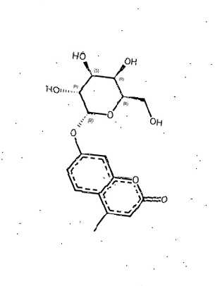 Cc1cc(=O)oc2cc(O[C@H]3O[C@H](CO)[C@H](O)[C@H](O)[C@H]3O)ccc12